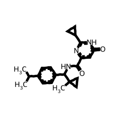 CC(C)c1ccc(C(NC(=O)c2cc(=O)[nH]c(C3CC3)n2)C2(C)CC2)cc1